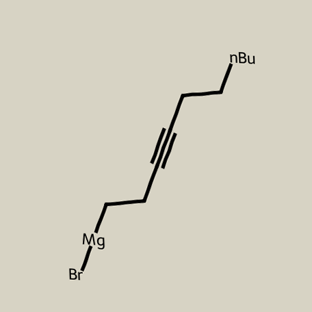 CCCCCCC#CC[CH2][Mg][Br]